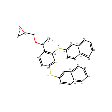 CC(OCC1CO1)c1ccc(Sc2ccc3ccccc3c2)cc1Sc1ccc2ccccc2c1